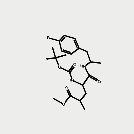 COC(=O)C(C)CC(NC(=O)OC(C)(C)C)C(=O)NC(C)Cc1ccc(F)cc1